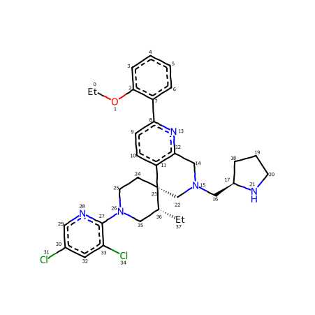 CCOc1ccccc1-c1ccc2c(n1)CN(C[C@H]1CCCN1)C[C@]21CCN(c2ncc(Cl)cc2Cl)C[C@H]1CC